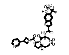 O=C(N[C@H]1CS(=O)(=O)CC[C@H]2CC[C@@H](C(=O)N3CC(c4cccnc4)C3)N2C1=O)c1cc2cc(C(F)(F)P(=O)(O)O)ccc2s1